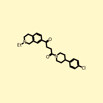 CCN1CCc2ccc(C(=O)CCC(=O)N3CCC(c4ccc(Cl)cc4)CC3)cc2C1